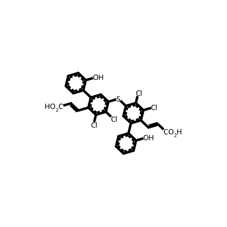 O=C(O)/C=C/c1c(-c2ccccc2O)cc(Sc2cc(-c3ccccc3O)c(/C=C/C(=O)O)c(Cl)c2Cl)c(Cl)c1Cl